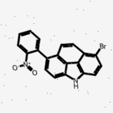 O=[N+]([O-])c1ccccc1-c1ccc2[nH]c3ccc(Br)c4ccc1c2c34